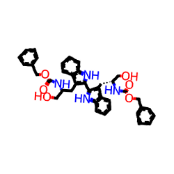 O=C(NC(CO)Cc1c(-c2[nH]c3ccccc3c2C[C@H](CO)NC(=O)OCc2ccccc2)[nH]c2ccccc12)OCc1ccccc1